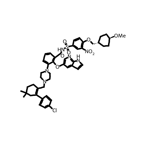 CO[C@H]1CC[C@H](COc2ccc(S(=O)(=O)NC(=O)c3cccc(N4CCN(CC5=C(c6ccc(Cl)cc6)CC(C)(C)CC5)CC4)c3Oc3cnc4[nH]ccc4c3)cc2[N+](=O)[O-])CC1